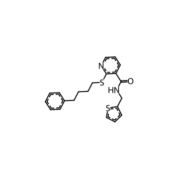 O=C(NCc1cccs1)c1cccnc1SCCCCc1ccccc1